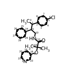 CC(c1ccc(Cl)cc1)C(CNC(=O)C(C)(C)Oc1cccnc1)c1ccccc1